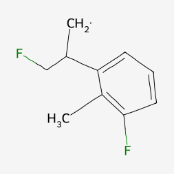 [CH2]C(CF)c1cccc(F)c1C